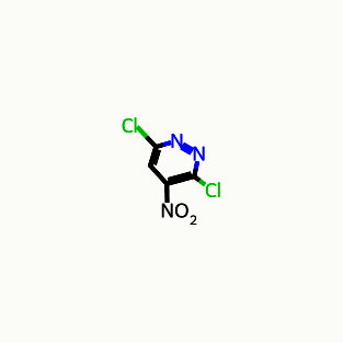 O=[N+]([O-])c1cc(Cl)nnc1Cl